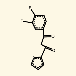 O=C(CC(=O)c1cccs1)c1ccc(F)c(F)c1